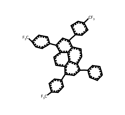 FC(F)(F)c1ccc(-c2cc(-c3ccccc3)c3ccc4c(-c5ccc(C(F)(F)F)cc5)cc(-c5ccc(C(F)(F)F)cc5)c5ccc2c3c45)cc1